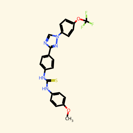 COc1ccc(NC(=S)Nc2ccc(-c3ncn(-c4ccc(OC(F)(F)F)cc4)n3)cc2)cc1